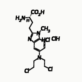 Cl.Cl.Cn1c(CC[C@H](N)C(=O)O)nc2cc(N(CCCl)CCCl)ccc21